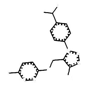 O=C(O)c1nnn(-c2ccc(C(F)F)cc2)c1COc1ccc(Cl)nn1